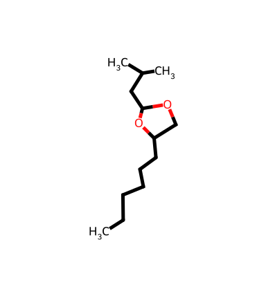 CCCCCCC1COC(CC(C)C)O1